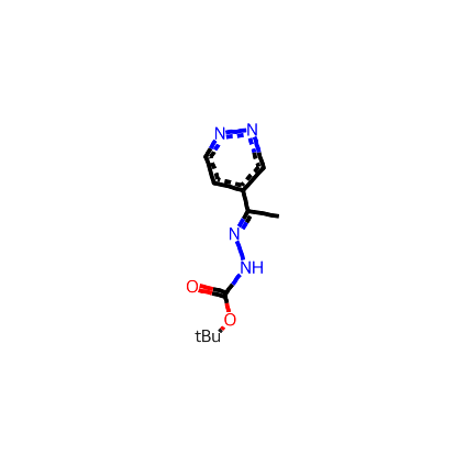 C/C(=N\NC(=O)OC(C)(C)C)c1ccnnc1